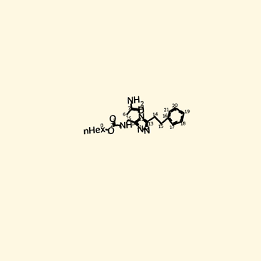 CCCCCCOC(=O)N[C@H](CC(N)=O)c1nnc(CCc2ccccc2)[nH]1